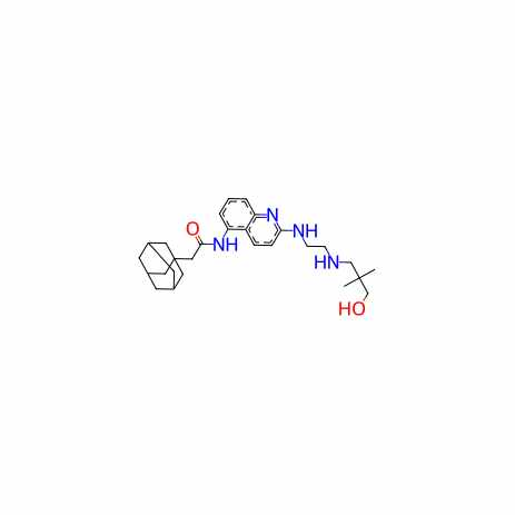 CC(C)(CO)CNCCNc1ccc2c(NC(=O)CC34CC5CC(CC(C5)C3)C4)cccc2n1